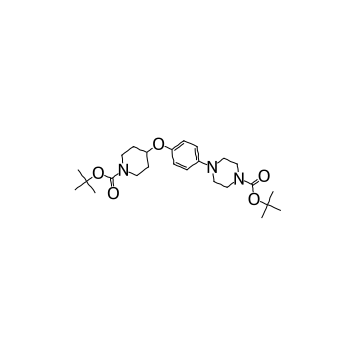 CC(C)(C)OC(=O)N1CCC(Oc2ccc(N3CCN(C(=O)OC(C)(C)C)CC3)cc2)CC1